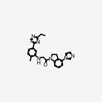 CCc1nsc(-c2ccc(C)c(NCC(=O)N3CCc4c3cccc4-n3ccnc3)c2)n1